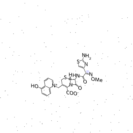 CO/N=C(\C(=O)NC1C(=O)N2C(C(=O)[O-])=C(C[n+]3cccc4c(O)cccc43)CS[C@H]12)c1csc(N)n1